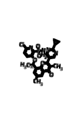 Cc1cc([C@@H](C)Oc2ccc(Cl)nc2S(N)(=O)=O)c2oc(-c3cnc(C4CC4)nc3)c(C)c(=O)c2c1